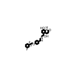 O=c1ccc2c(C(O)CNCCc3ccc(OCC(F)(F)c4cccc(F)c4)cc3)ccc(O)c2[nH]1